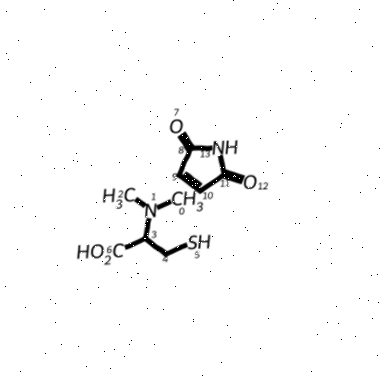 CN(C)C(CS)C(=O)O.O=C1C=CC(=O)N1